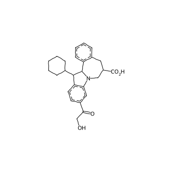 O=C(CO)c1ccc2c(c1)N1CC(C(=O)O)Cc3ccccc3C1C2C1CCCCC1